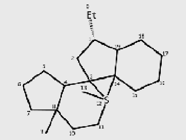 CC[C@H]1CC23C4CCCC4(C)CCS2(C)C32CCCCC12